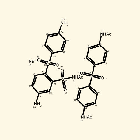 CC(=O)Nc1ccc(S(=O)(=O)c2ccc(NC(C)=O)cc2)cc1.CC(=O)[N-]S(=O)(=O)c1cc(N)ccc1S(=O)(=O)c1ccc(N)cc1.[Na+]